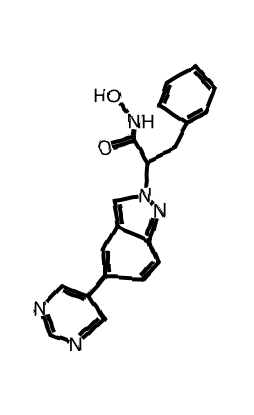 O=C(NO)C(Cc1ccccc1)n1cc2cc(-c3cncnc3)ccc2n1